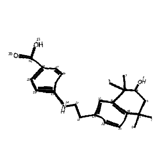 CC1(C)CC(O)C(C)(C)c2cc(CCNc3ccc(C(=O)O)cc3)ccc21